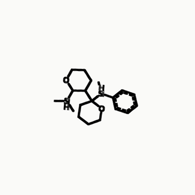 C[SiH](C)C1OCCCC1C1([SiH](C)c2ccccc2)CCCCO1